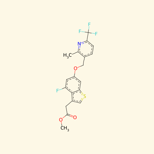 COC(=O)Cc1csc2cc(OCc3ccc(C(F)(F)F)nc3C)cc(F)c12